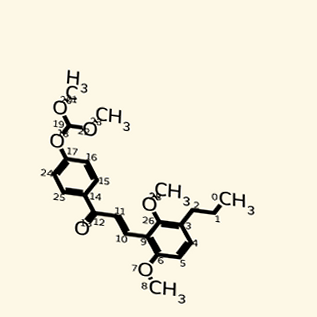 CCCc1ccc(OC)c(C=CC(=O)c2ccc(OC(OC)OC)cc2)c1OC